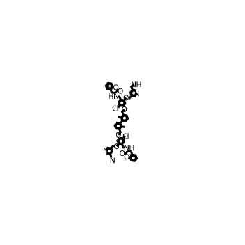 Cc1c(COc2cc(OCc3cncc(C#N)c3)c(CNC(Cc3ccccc3)C(=O)O)cc2Cl)cccc1-c1cccc(COc2cc(OCc3cncc(C=N)c3)c(CNC(Cc3ccccc3)C(=O)O)cc2Cl)c1C